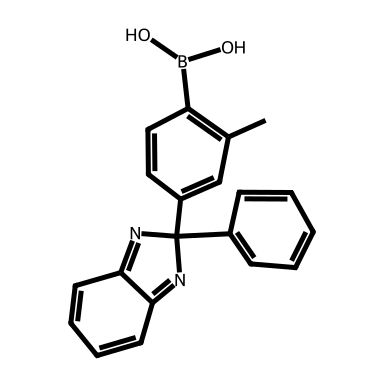 Cc1cc(C2(c3ccccc3)N=c3ccccc3=N2)ccc1B(O)O